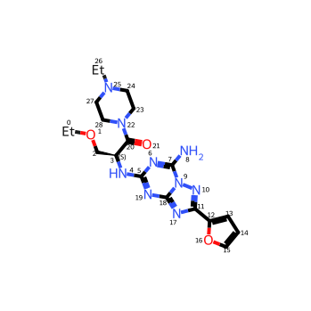 CCOC[C@H](Nc1nc(N)n2nc(-c3ccco3)nc2n1)C(=O)N1CCN(CC)CC1